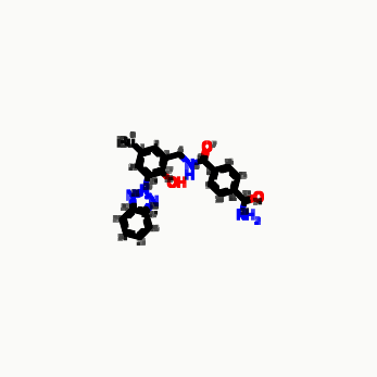 CCC(C)c1cc(CNC(=O)c2ccc(C(N)=O)cc2)c(O)c(-n2nc3ccccc3n2)c1